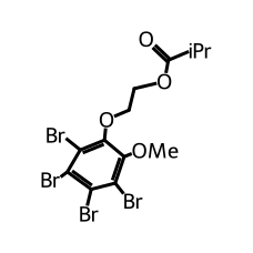 COc1c(Br)c(Br)c(Br)c(Br)c1OCCOC(=O)C(C)C